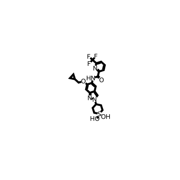 O=C(Nc1cc2cn(C3CCS(O)(O)CC3)nc2cc1OCC1CC1)c1cccc(C(F)(F)F)n1